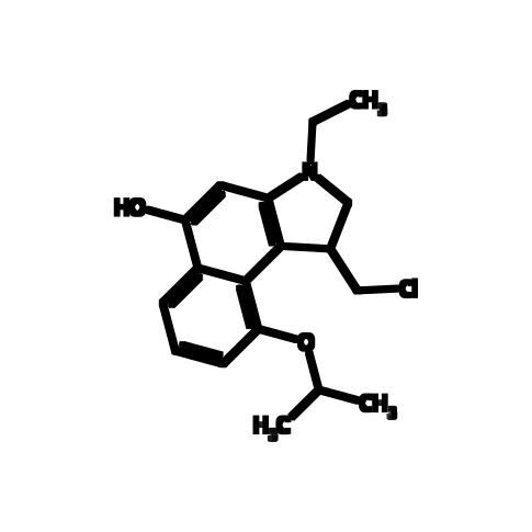 CCN1CC(CCl)c2c1cc(O)c1cccc(OC(C)C)c21